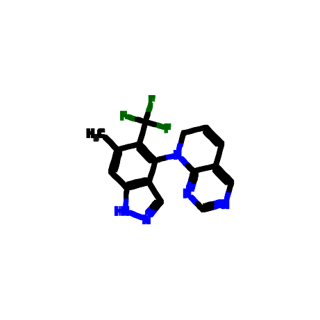 Cc1cc2[nH]ncc2c(N2CC=Cc3cncnc32)c1C(F)(F)F